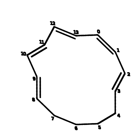 C1=C\C=C\CCCC/C=C/C=C/C=C/1